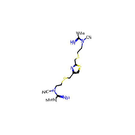 CNC(=N)N(C#N)CCSCc1csc(CSCCN(C#N)C(=N)NC)n1